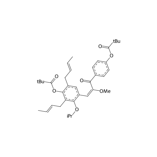 CC=CCc1cc(C=C(OC)C(=O)c2ccc(OC(=O)C(C)(C)C)cc2)c(OC(C)C)c(CC=CC)c1OC(=O)C(C)(C)C